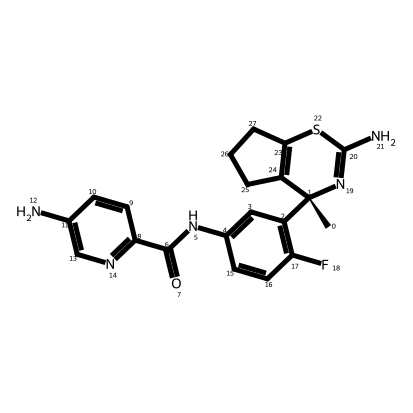 C[C@]1(c2cc(NC(=O)c3ccc(N)cn3)ccc2F)N=C(N)SC2=C1CCC2